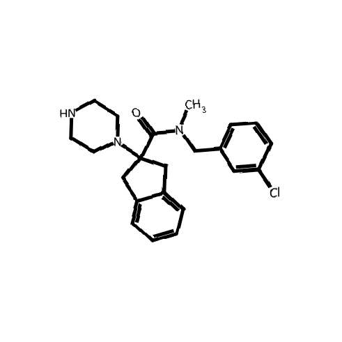 CN(Cc1cccc(Cl)c1)C(=O)C1(N2CCNCC2)Cc2ccccc2C1